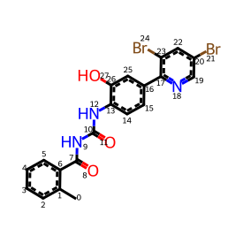 Cc1ccccc1C(=O)NC(=O)Nc1ccc(-c2ncc(Br)cc2Br)cc1O